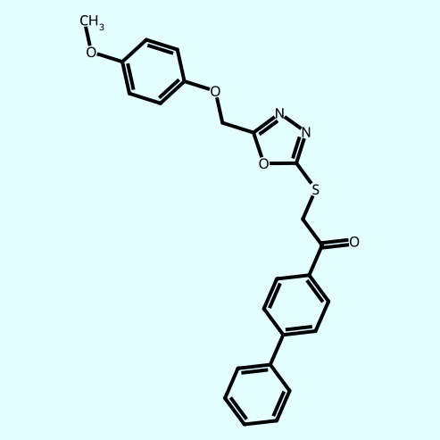 COc1ccc(OCc2nnc(SCC(=O)c3ccc(-c4ccccc4)cc3)o2)cc1